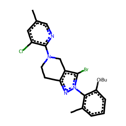 Cc1cnc(N2CCc3nn(-c4c(C)cccc4OCC(C)C)c(Br)c3C2)c(Cl)c1